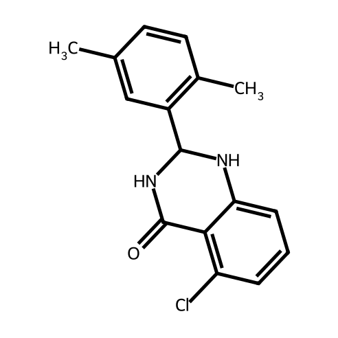 Cc1ccc(C)c(C2NC(=O)c3c(Cl)cccc3N2)c1